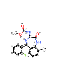 CCc1cccc2c1NC(=O)C(NC(=O)OC(C)(C)C)N=C2c1ccccc1F